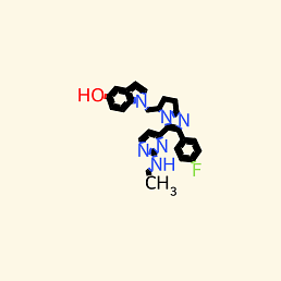 CCNc1nccc(-c2c(-c3ccc(F)cc3)nc3n2C(Cn2ccc4cc(O)ccc42)CC3)n1